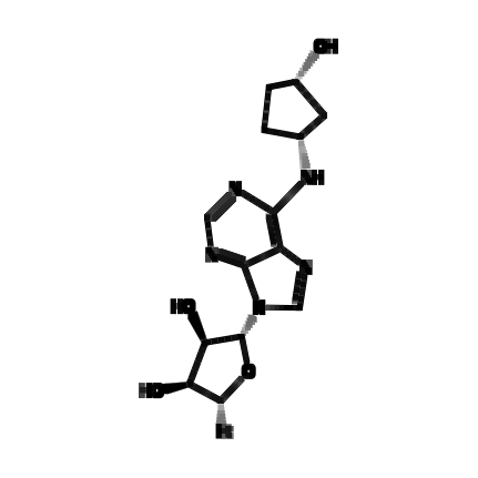 CC[C@H]1O[C@@H](n2cnc3c(N[C@@H]4CC[C@H](O)C4)ncnc32)[C@H](O)[C@@H]1O